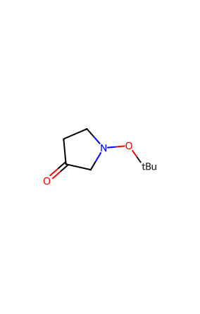 CC(C)(C)ON1CCC(=O)C1